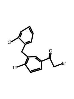 O=C(CBr)c1ccc(Cl)c(Cc2ccccc2Cl)c1